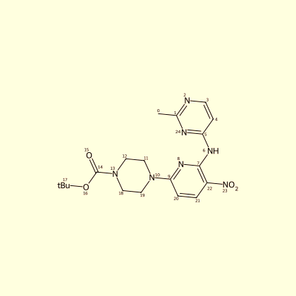 Cc1nccc(Nc2nc(N3CCN(C(=O)OC(C)(C)C)CC3)ccc2[N+](=O)[O-])n1